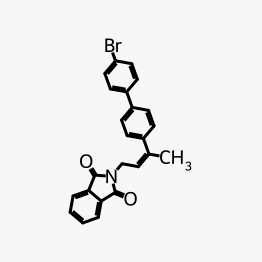 CC(=CCN1C(=O)c2ccccc2C1=O)c1ccc(-c2ccc(Br)cc2)cc1